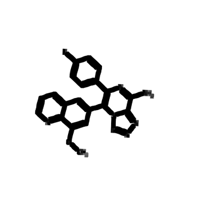 COc1cc(-c2c(-c3ccc(F)cc3)nc(N)c3nnnn23)cc2cccnc12